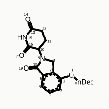 CCCCCCCCCCOc1cccc2c1CN(C1CCC(=O)NC1=O)C2=O